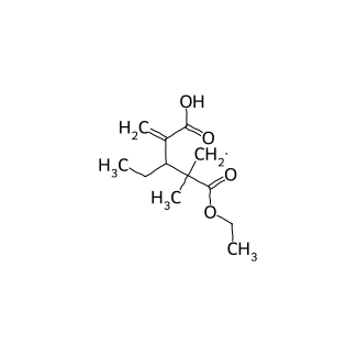 [CH2]C(C)(C(=O)OCC)C(CC)C(=C)C(=O)O